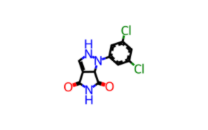 O=C1NC(=O)C2C1=CNN2c1cc(Cl)cc(Cl)c1